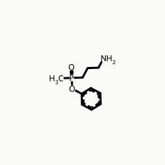 CP(=O)(CCCN)Oc1ccccc1